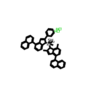 CC1=Cc2c(-c3cccc4ccccc34)ccc(C)c2[CH]1[Zr]([CH3])([CH3])(=[SiH2])[CH]1C(c2ccccc2)=Cc2c(-c3cccc4ccccc34)cccc21.Cl.Cl